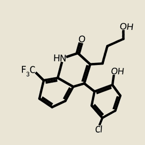 O=c1[nH]c2c(C(F)(F)F)cccc2c(-c2cc(Cl)ccc2O)c1CCCO